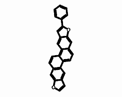 c1ccc(-c2cc3cc4c(ccc5c6cc7ccoc7cc6ccc45)cc3o2)cc1